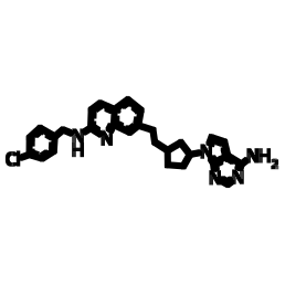 Nc1ncnc2c1ccn2C1CCC(CCc2ccc3ccc(NCc4ccc(Cl)cc4)nc3c2)C1